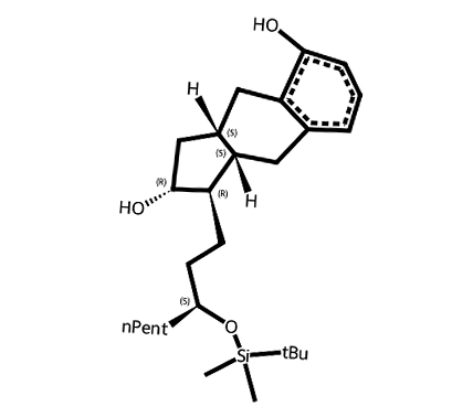 CCCCC[C@@H](CC[C@@H]1[C@H]2Cc3cccc(O)c3C[C@H]2C[C@H]1O)O[Si](C)(C)C(C)(C)C